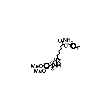 COc1ccc(S(=O)(=O)Nc2nc(CCCCCC(OCc3ccc(F)cc3)C(N)=O)cs2)cc1OC